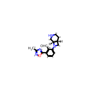 Cc1noc(-c2cccc(N3C[C@H]4CCNC[C@H]43)c2C=O)n1